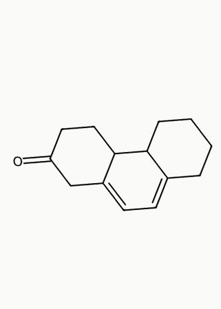 O=C1CCC2C(=CC=C3CCCCC32)C1